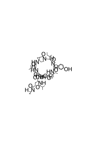 CCC(C)[C@@H]1NC(=O)[C@H](Cc2ccc(O)cc2)N(C)C(=O)[C@H](C(C)CC)N2CCC3(CC3C2=O)NC(=O)[C@H](CC(C)C)NC(=O)[C@@H](NC(=O)[C@H](CCC(N)=O)NC(=O)C(C)C)[C@@H](C)OC1=O